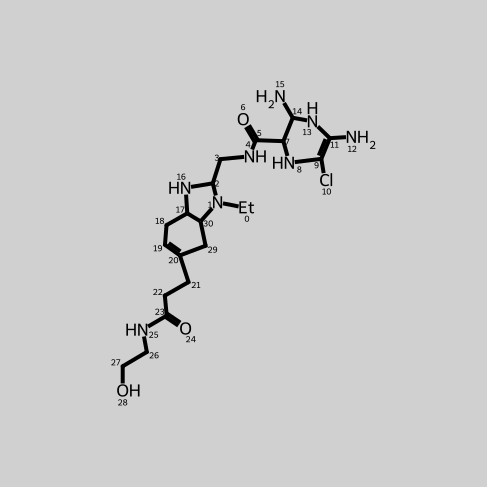 CCN1C(CNC(=O)C2NC(Cl)=C(N)NC2N)NC2CC=C(CCC(=O)NCCO)CC21